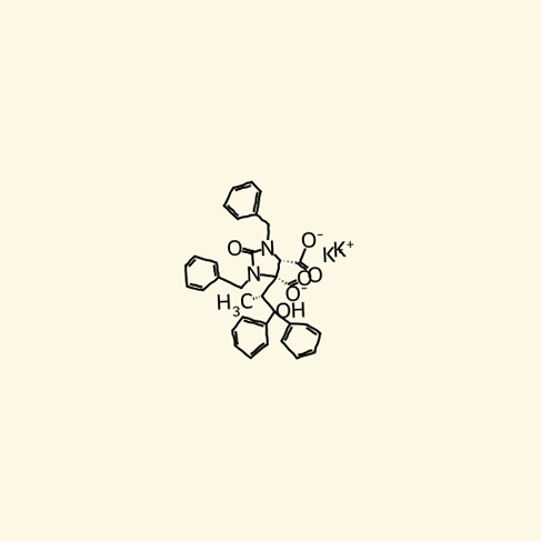 C[C@@H](C(O)(c1ccccc1)c1ccccc1)[C@]1(C(=O)[O-])[C@@H](C(=O)[O-])N(Cc2ccccc2)C(=O)N1Cc1ccccc1.[K+].[K+]